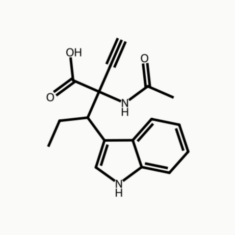 C#CC(NC(C)=O)(C(=O)O)C(CC)c1c[nH]c2ccccc12